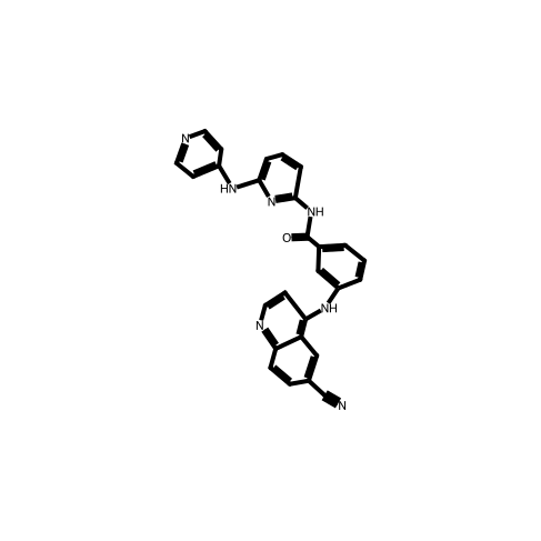 N#Cc1ccc2nccc(Nc3cccc(C(=O)Nc4cccc(Nc5ccncc5)n4)c3)c2c1